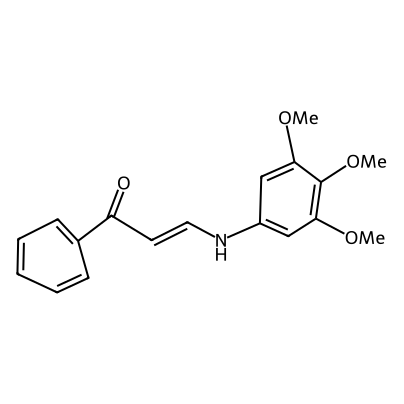 COc1cc(N/C=C/C(=O)c2ccccc2)cc(OC)c1OC